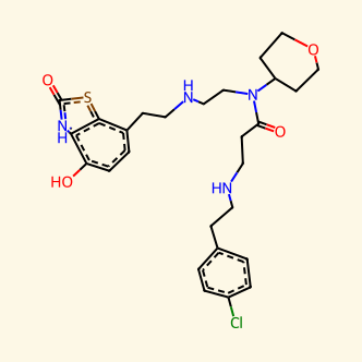 O=C(CCNCCc1ccc(Cl)cc1)N(CCNCCc1ccc(O)c2[nH]c(=O)sc12)C1CCOCC1